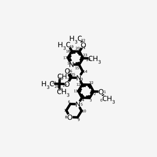 COc1cc(N2CCOCC2)cc(N(Cc2ncc(C)c(OC)c2C)C(=O)OC(C)(C)C)c1